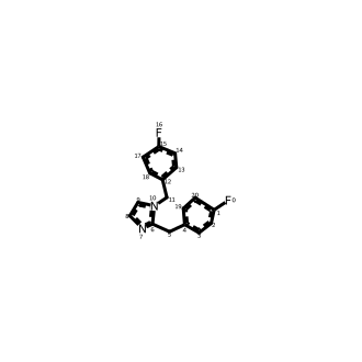 Fc1ccc(Cc2nccn2Cc2ccc(F)cc2)cc1